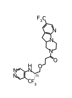 C[C@@H](COCCC(=O)N1CCN2c3ncc(C(F)(F)F)cc3CC2C1)Nc1cnncc1C(F)(F)F